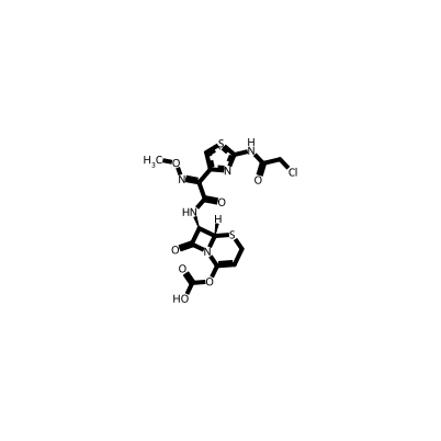 CON=C(C(=O)N[C@@H]1C(=O)N2C(OC(=O)O)=CCS[C@@H]12)c1csc(NC(=O)CCl)n1